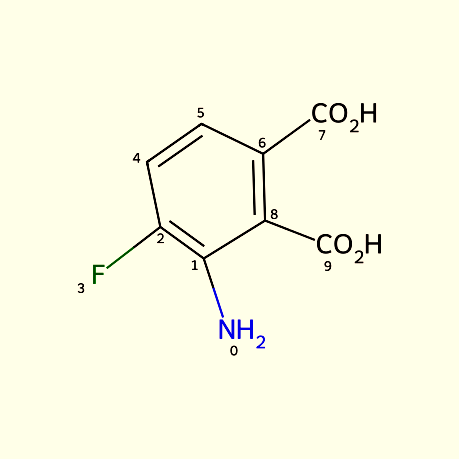 Nc1c(F)ccc(C(=O)O)c1C(=O)O